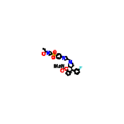 C=CC(=O)N1CC(S(=O)(=O)c2ccc(N3CC(CN4CCC(C(c5cccc(F)c5)[C@H]5CCC[C@@H]5OC(=O)NC)CC4)C3)cc2)C1